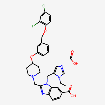 CCn1cncc1Cn1c(CN2CCC(Oc3cccc(COc4ccc(Cl)cc4F)c3)CC2)nc2ccc(C(=O)O)cc21.O=CO